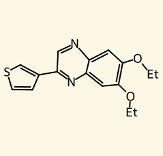 CCOc1cc2ncc(-c3ccsc3)nc2cc1OCC